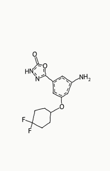 Nc1cc(OC2CCC(F)(F)CC2)cc(-c2n[nH]c(=O)o2)c1